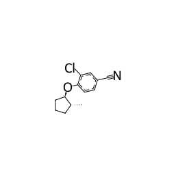 C[C@@H]1CCC[C@H]1Oc1ccc(C#N)cc1Cl